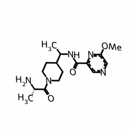 COc1cncc(C(=O)NC(C)C2CCN(C(=O)[C@H](C)N)CC2)n1